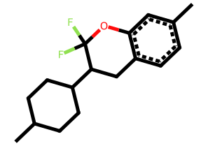 Cc1ccc2c(c1)OC(F)(F)C(C1CCC(C)CC1)C2